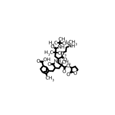 CNCCOC(=O)C(CC(C)(C)C(=O)NC(C)(C)C)CC(C)(CC(CC1C(C)C2CC(C(=O)O)C1C2)C(N)=O)C(=O)OC1CCOC1=O